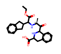 CCOC(=O)C(N[C@@H](C)C(=O)C1NC(C(=O)O)Cc2ccccc21)C1Cc2ccccc2C1